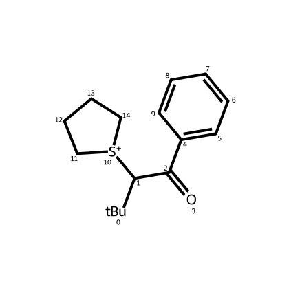 CC(C)(C)C(C(=O)c1ccccc1)[S+]1CCCC1